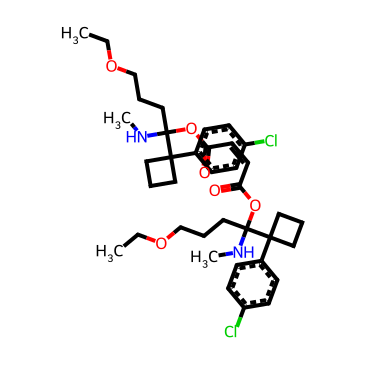 CCOCCCC(NC)(OC(=O)/C=C\C(=O)OC(CCCOCC)(NC)C1(c2ccc(Cl)cc2)CCC1)C1(c2ccc(Cl)cc2)CCC1